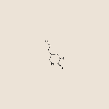 O=CCC1CNC(=O)NC1